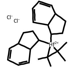 C[C]1(C)[C](C)(C)[Hf+2]1([CH]1CCC2C=CC=CC21)[CH]1CCC2C=CC=CC21.[Cl-].[Cl-]